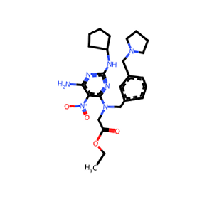 CCOC(=O)CN(Cc1cccc(CN2CCCC2)c1)c1nc(NC2CCCC2)nc(N)c1[N+](=O)[O-]